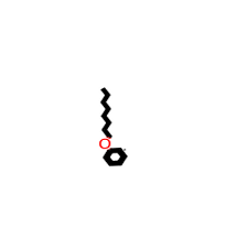 CCCCCCCCOc1[c]cccc1